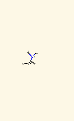 [CH2]N(C)[SiH2]C